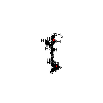 NSc1ccc(NC(=O)CN(CCN(CC(=O)Nc2ccc(S)cc2)CC(O)NCCOCCOCCNC(=S)Nc2ccc(-c3c4ccc(=O)cc-4oc4cc(O)ccc34)c(C(=O)O)c2)CC(=O)O)cc1